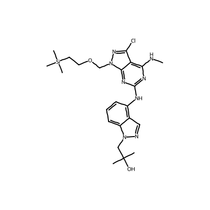 CNc1nc(Nc2cccc3c2cnn3CC(C)(C)O)nc2c1c(Cl)nn2COCC[Si](C)(C)C